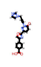 O=C(O)c1ccc(-c2coc(-c3ccc(=O)n(C#CCn4ccnc4)n3)n2)cc1